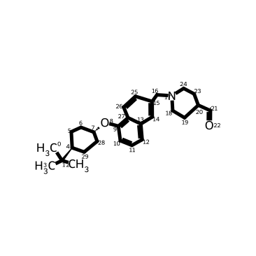 CC(C)(C)[C@H]1CC[C@H](Oc2cccc3cc(CN4CCC([C]=O)CC4)ccc23)CC1